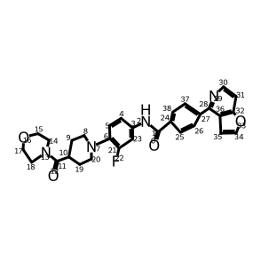 O=C(Nc1ccc(N2CCC(C(=O)N3CCOCC3)CC2)c(F)c1)c1ccc(-c2nccc3occc23)cc1